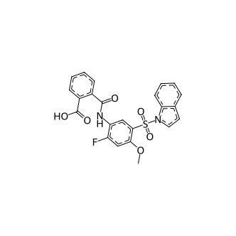 COc1cc(F)c(NC(=O)c2ccccc2C(=O)O)cc1S(=O)(=O)n1ccc2ccccc21